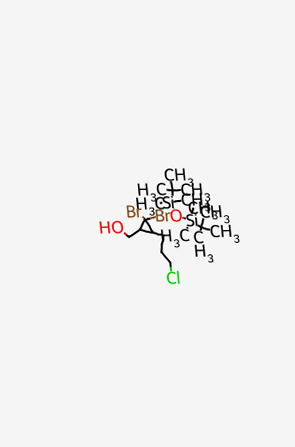 CC(C)(C)[Si](C)(C)O[Si](C)(C)C(C)(C)C.OCC1C(CCCCl)C1(Br)Br